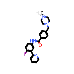 CN1CCN(Cc2ccc(C(=O)Nc3ccc(I)c(-c4ccccn4)c3)cc2)CC1